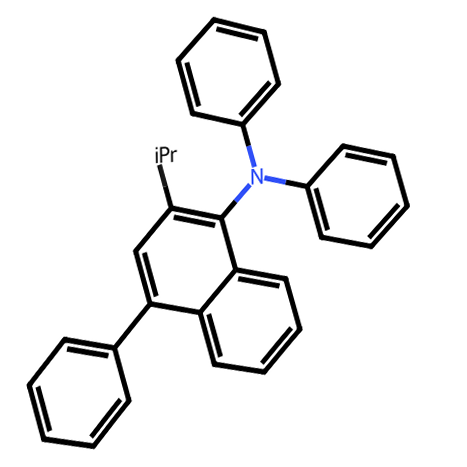 CC(C)c1cc(-c2ccccc2)c2ccccc2c1N(c1ccccc1)c1ccccc1